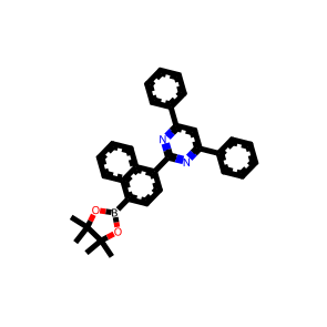 CC1(C)OB(c2ccc(-c3nc(-c4ccccc4)cc(-c4ccccc4)n3)c3ccccc23)OC1(C)C